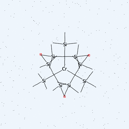 C[Si](C)(C)[C]([Cr]([C]([Si](C)(C)C)([Si](C)(C)C)[Si](C)(C)C)[C]([Si](C)(C)C)([Si](C)(C)C)[Si](C)(C)C)([Si](C)(C)C)[Si](C)(C)C